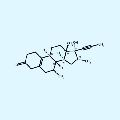 CC#C[C@@]1(O)[C@H](C)C[C@H]2[C@@H]3C(C)CC4=C(CCC(=O)C4)[C@H]3CC[C@@]21C